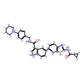 O=C(NCc1ccc(N2CCCCC2)cc1)c1c[nH]c2ccc(-c3ccc4nc(NC(=O)C5CC5)sc4n3)cc12